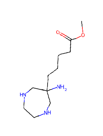 COC(=O)CCCCC1(N)CNCCNC1